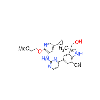 COCCOc1ncc(C2CC2)cc1Nc1nccc(-c2cc(C#N)c3c(c2)[C@@](C)(CO)CN3)n1